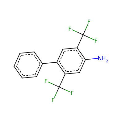 Nc1cc(C(F)(F)F)c(-c2ccccc2)cc1C(F)(F)F